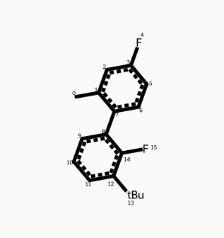 Cc1cc(F)ccc1-c1cccc(C(C)(C)C)c1F